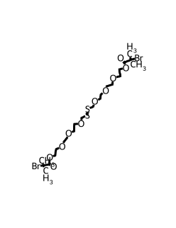 CC(C)(Br)C(=O)OCCOCCOCCOCSSCOCCOCCOCCOC(=O)C(C)(C)Br